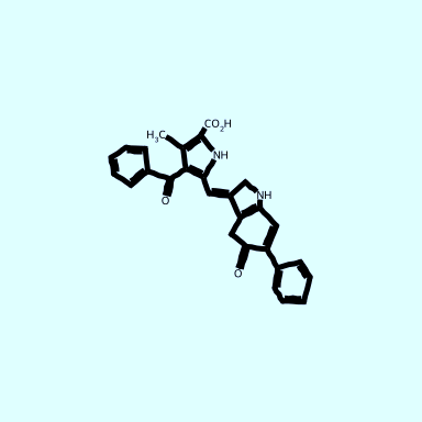 Cc1c(C(=O)O)[nH]c(C=C2CNC3=C2CC(=O)C(c2ccccc2)=C3)c1C(=O)c1ccccc1